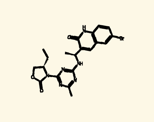 CC[C@H]1COC(=O)N1c1nc(C)nc(N[C@@H](C)c2cc3cc(Br)ccc3[nH]c2=O)n1